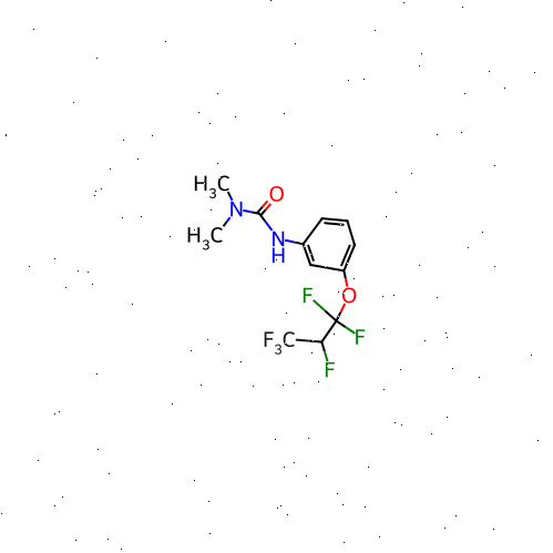 CN(C)C(=O)Nc1cccc(OC(F)(F)C(F)C(F)(F)F)c1